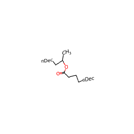 CCCCCCCCCCCCCC(=O)OC(C)CCCCCCCCCCC